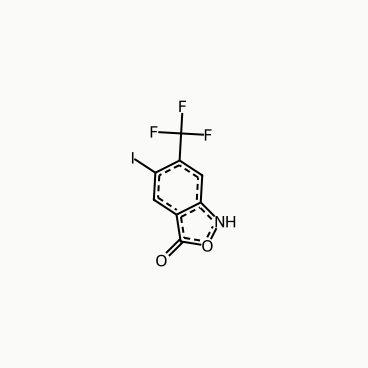 O=c1o[nH]c2cc(C(F)(F)F)c(I)cc12